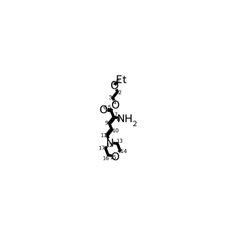 CCOCCOC(=O)/C(N)=C/C=C/N1CCOCC1